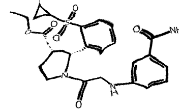 CCOC(=O)[C@H]1CCN(C(=O)CNc2cccc(C(N)=O)c2)[C@H]1c1ccccc1S(=O)(=O)C1CC1